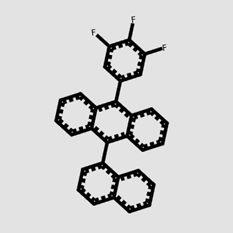 Fc1cc(-c2c3ccccc3c(-c3cccc4ccccc34)c3ccccc23)cc(F)c1F